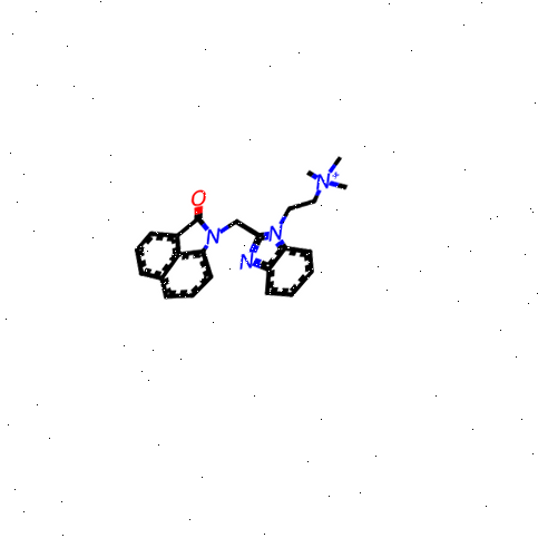 C[N+](C)(C)CCn1c(CN2C(=O)c3cccc4cccc2c34)nc2ccccc21